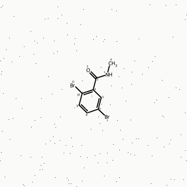 CNC(=O)c1cc(Br)ccc1Br